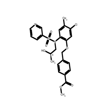 COC(=O)c1ccc(COc2cc(Cl)c(C)cc2N(C[C@@H](C)O)S(=O)(=O)c2cccnc2)cc1